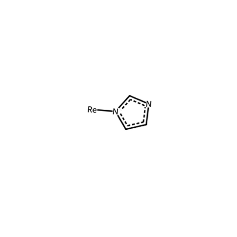 [Re][n]1ccnc1